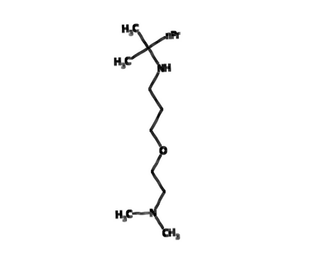 CCCC(C)(C)NCCCOCCN(C)C